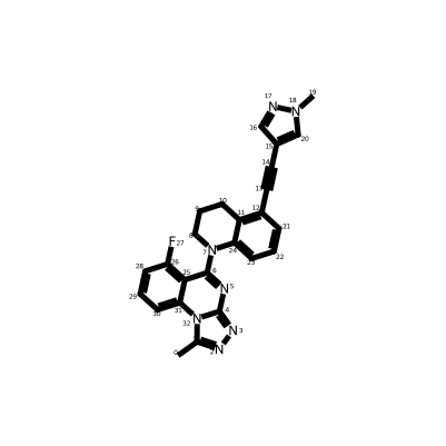 Cc1nnc2nc(N3CCCc4c(C#Cc5cnn(C)c5)cccc43)c3c(F)cccc3n12